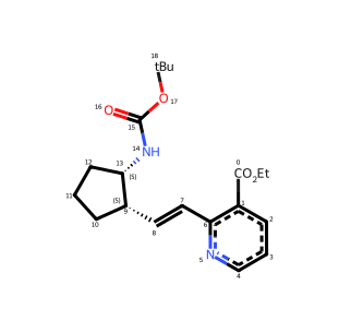 CCOC(=O)c1cccnc1C=C[C@@H]1CCC[C@@H]1NC(=O)OC(C)(C)C